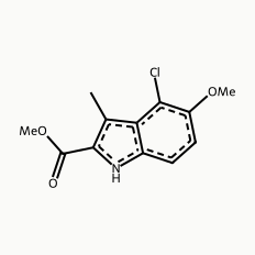 COC(=O)c1[nH]c2ccc(OC)c(Cl)c2c1C